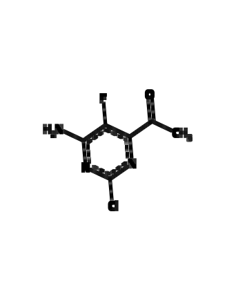 CC(=O)c1nc(Cl)nc(N)c1F